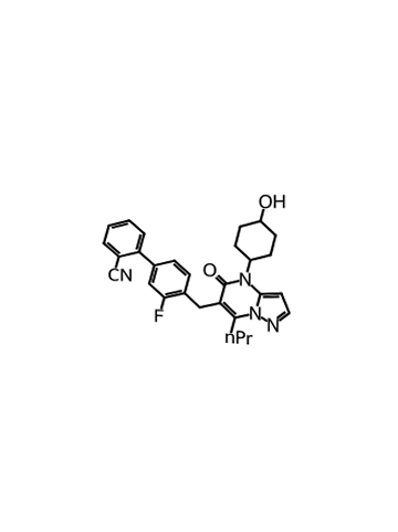 CCCc1c(Cc2ccc(-c3ccccc3C#N)cc2F)c(=O)n(C2CCC(O)CC2)c2ccnn12